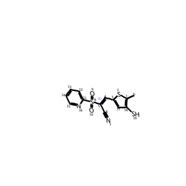 Cc1sc(/C=C(\C#N)S(=O)(=O)c2ccccn2)cc1S